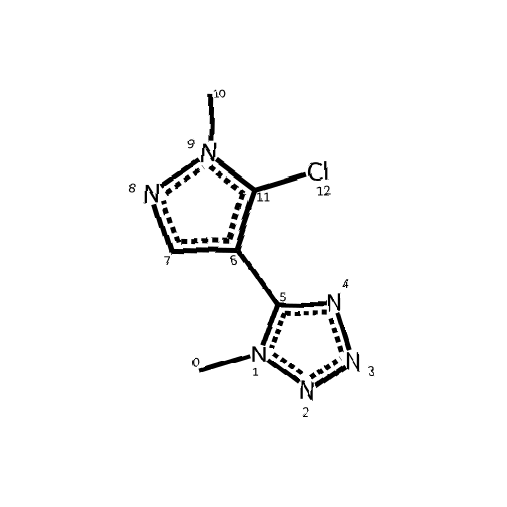 Cn1nnnc1-c1cnn(C)c1Cl